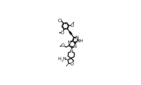 COCc1nc2c(C#Cc3c(OC)cc(Cl)cc3OC)n[nH]c2nc1N1CCC2(CC1)CO[C@@H](C)[C@H]2N